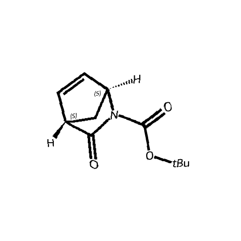 CC(C)(C)OC(=O)N1C(=O)[C@@H]2C=C[C@@H]1C2